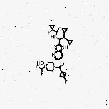 O=C(NC(c1nc2nc([C@H]3C[C@](O)(C(F)F)CCN3C(=O)C34CC(F)(C3)C4)ccc2[nH]1)C(C1CC1)C1CC1)C1(F)CC1